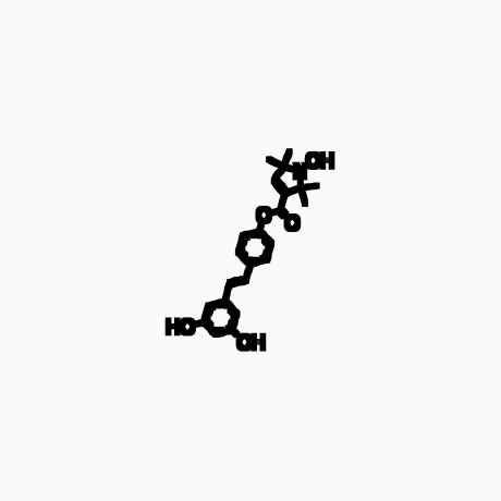 CC1(C)C=C(C(=O)Oc2ccc(/C=C/c3cc(O)cc(O)c3)cc2)C(C)(C)N1O